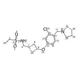 CCS(=O)(=O)NCC1CC(Oc2ccc(CN3CCCC3)c(Cl)c2)C1